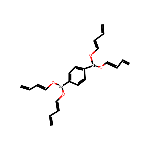 C=CC=C[O][Sb]([O]C=CC=C)[c]1cc[c]([Sb]([O]C=CC=C)[O]C=CC=C)cc1